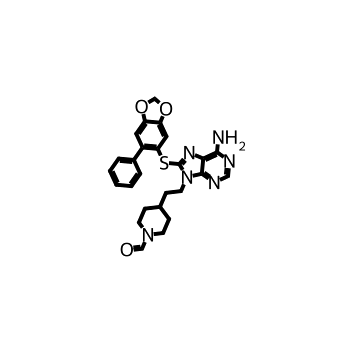 Nc1ncnc2c1nc(Sc1cc3c(cc1-c1ccccc1)OCO3)n2CCC1CCN(C=O)CC1